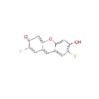 O=c1cc2oc3cc(O)c(F)cc3cc-2cc1F